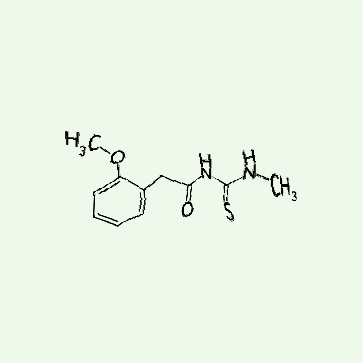 CNC(=S)NC(=O)Cc1ccccc1OC